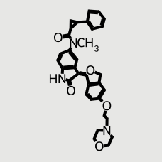 CN(C(=O)C1CC1c1ccccc1)c1ccc2c(c1)/C(=C1\OCc3cc(OCCN4CCOCC4)ccc31)C(=O)N2